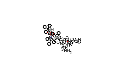 Nc1nc(/C(=N/OC(=O)C2=C(SCC3CCCCO3)CS[C@@H]3N2C(=O)C3(NC(=O)/C(=N\OC(c2ccccc2)(c2ccccc2)c2ccccc2)c2csc(NC(c3ccccc3)(c3ccccc3)c3ccccc3)n2)C(c2ccccc2)c2ccccc2)C(=O)NC2C(=O)N3C(C(=O)O)=C(SCC4CCCCO4)CS[C@@H]23)cs1